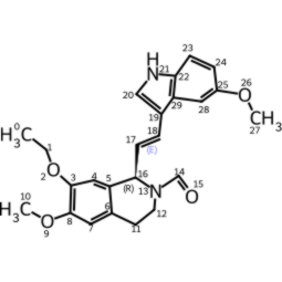 CCOc1cc2c(cc1OC)CCN(C=O)[C@@H]2/C=C/c1c[nH]c2ccc(OC)cc12